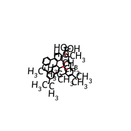 CC(C)c1cc(C(C)C)c2cc(-c3c(OP(O)O)ccc(-c4ccccc4)c3-c3cc4c(C(C)C)cc(C(C)C)cc4cc3C(C)C)c(C(C)C)cc2c1